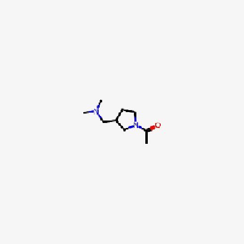 CC(=O)N1CCC(CN(C)C)C1